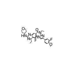 CCc1nc(NC2CCOCC2)nc2cc(C(=O)N(CC)c3nc(-c4ccc(OC)c(F)c4)c[nH]3)cc(F)c12